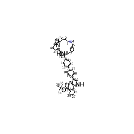 CC1C/C=C/COCc2[nH]c(nc2-c2ccc(-c3ccc(-c4c[nH]c(C5CCCN5C(=O)OC(C)(C)C)n4)cc3)cc2)C2CCCN2C1=O